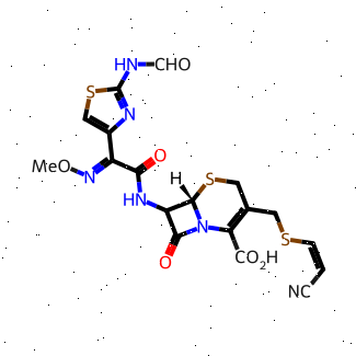 CON=C(C(=O)NC1C(=O)N2C(C(=O)O)=C(CS/C=C\C#N)CS[C@@H]12)c1csc(NC=O)n1